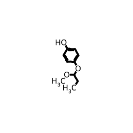 CCC(OC)Oc1ccc(O)cc1